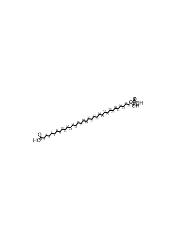 O=C(O)CCCCCCCCCCCCCCCCCCCCCCCCCCCCCCCCCOP(=O)(O)O